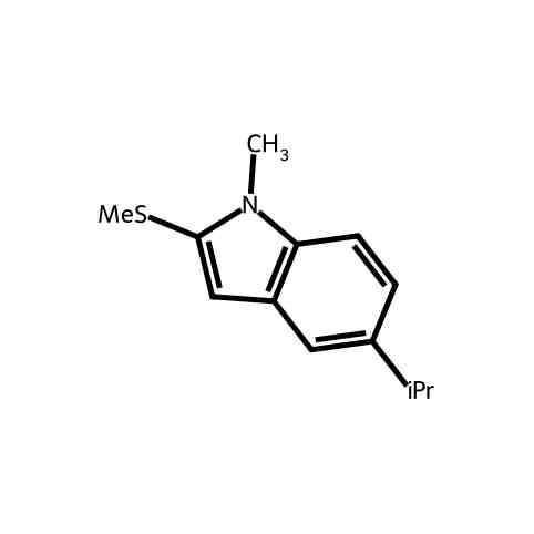 CSc1cc2cc(C(C)C)ccc2n1C